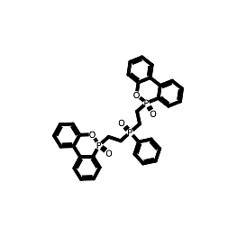 O=P(CCP1(=O)Oc2ccccc2-c2ccccc21)(CCP1(=O)Oc2ccccc2-c2ccccc21)c1ccccc1